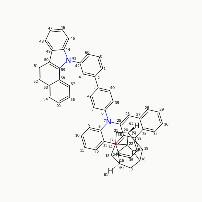 c1cc(-c2ccc(N(c3ccccc3C34C[C@@H]5CC6C[C@@H](C3)C4(C6)C5)c3cc4ccccc4c4ccccc34)cc2)cc(-n2c3ccccc3c3ccc4ccccc4c32)c1